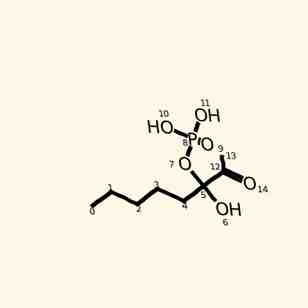 CCCCCC(O)(OP(=O)(O)O)C(C)=O